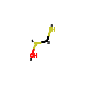 OSCS